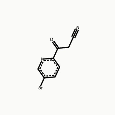 N#CCC(=O)c1ccc(Br)cn1